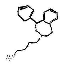 NCCCCN1CCc2ccccc2C(c2ccccc2)C1